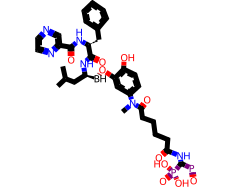 CC(C)C[C@H](BOc1cc(N(C)C(=O)CCCCC(=O)NC(P=O)P(=O)(O)O)ccc1O)NC(=O)[C@@H](Cc1ccccc1)NC(=O)c1cnccn1